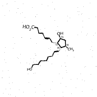 C[C@@H]1C[C@H](O)[C@@H](CC=CCCCC(=O)O)[C@H]1C=CCCCCCCO